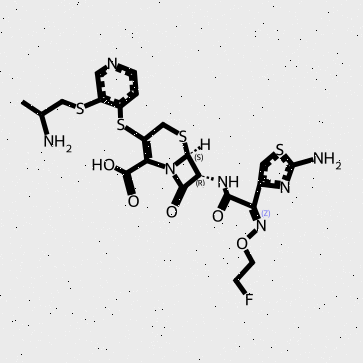 CC(N)CSc1cnccc1SC1=C(C(=O)O)N2C(=O)[C@@H](NC(=O)/C(=N\OCCF)c3csc(N)n3)[C@@H]2SC1